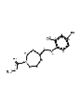 CC(C)(C)OC(=O)N1CCCC(COc2ccc(F)cc2Cl)CC1